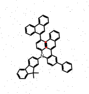 CC1(C)c2ccccc2-c2ccc(N(c3ccc(-c4cc5ccccc5c5ccccc45)cc3)c3ccc(-c4ccccc4)cc3-c3ccc4ccccc4c3)cc21